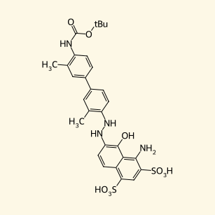 Cc1cc(-c2ccc(NC(=O)OC(C)(C)C)c(C)c2)ccc1NNc1ccc2c(S(=O)(=O)O)cc(S(=O)(=O)O)c(N)c2c1O